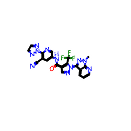 Cn1nc(-n2ncc(C(=O)Nc3cnc(-n4nccn4)c(C#N)c3)c2C(F)(F)F)c2cccnc21